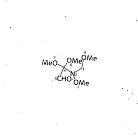 COCN(OC)C([C]=O)(OC)OC